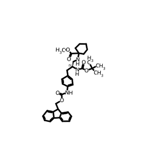 COC(=O)C1(NC[C@H](Cc2ccc(NC(=O)OCC3c4ccccc4-c4ccccc43)cc2)NC(=O)OC(C)(C)C)CCCCC1